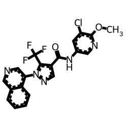 COc1ncc(NC(=O)c2cnn(-c3cncc4ccccc34)c2C(F)(F)F)cc1Cl